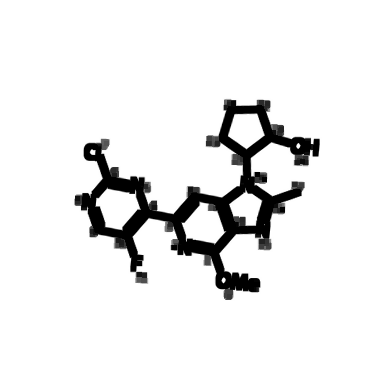 COc1nc(-c2nc(Cl)ncc2F)cc2c1nc(C)n2C1CCCC1O